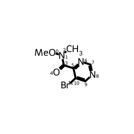 CON(C)C(=O)c1ncncc1Br